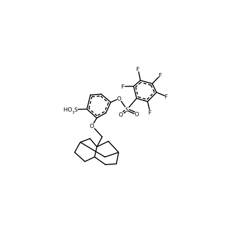 O=S(=O)(O)c1ccc(OS(=O)(=O)c2c(F)c(F)c(F)c(F)c2F)cc1OCC12CC3CCC1CCC(C3)C2